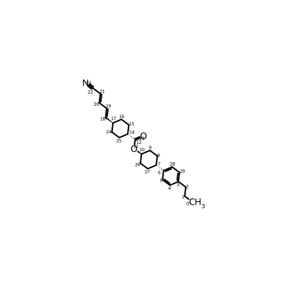 CCCc1ccc([C@H]2CC[C@H](OC(=O)[C@H]3CC[C@H](C=CC=CC#N)CC3)CC2)cc1